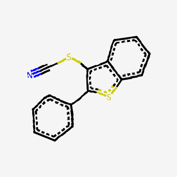 N#CSc1c(-c2ccccc2)sc2ccccc12